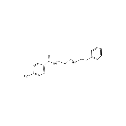 O=C(NCCCNCCc1ccccc1)c1ccc(C(F)(F)F)cc1